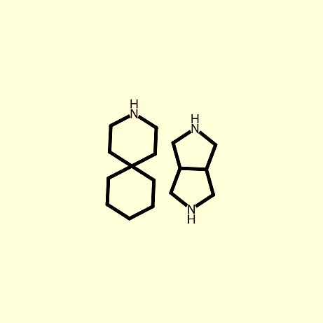 C1CCC2(CC1)CCNCC2.C1NCC2CNCC12